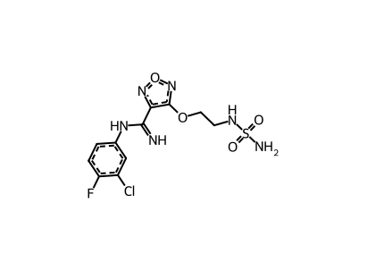 N=C(Nc1ccc(F)c(Cl)c1)c1nonc1OCCNS(N)(=O)=O